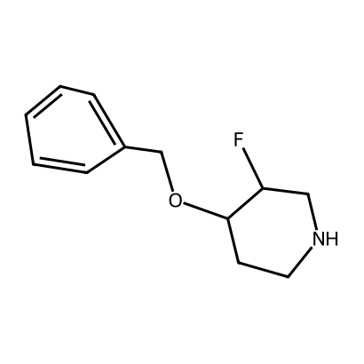 FC1CNCCC1OCc1ccccc1